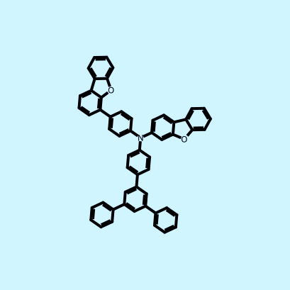 c1ccc(-c2cc(-c3ccccc3)cc(-c3ccc(N(c4ccc(-c5cccc6c5oc5ccccc56)cc4)c4ccc5c(c4)oc4ccccc45)cc3)c2)cc1